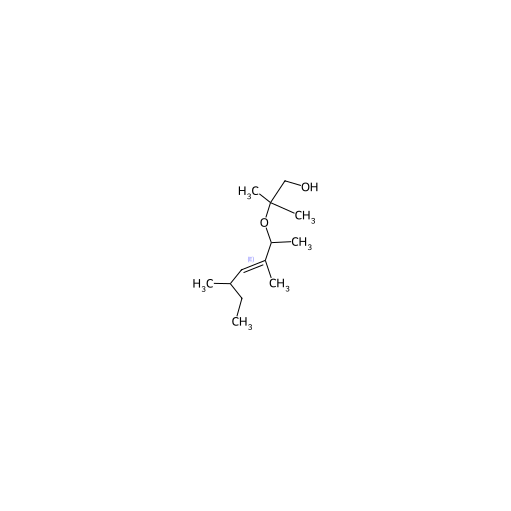 CCC(C)/C=C(\C)C(C)OC(C)(C)CO